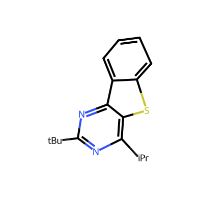 CC(C)c1nc(C(C)(C)C)nc2c1sc1ccccc12